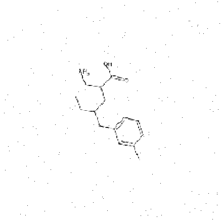 CCC(Cc1cccc(C)c1)CC(CN)C(=O)O